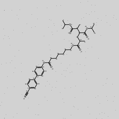 CC(C)OC(=O)C(C)C(CC(C)C(=O)OCCCCCCC(=O)Oc1ccc(-c2ccc(C#N)cc2)cc1)C(=O)OC(C)C